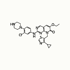 CCOc1cc2cnc(Nc3ccc(N4CCNCC4)c(Cl)c3)nc2n(Cc2scnc2C2CC2)c1=O